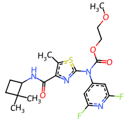 COCCOC(=O)N(c1cc(F)nc(F)c1)c1nc(C(=O)NC2CCC2(C)C)c(C)s1